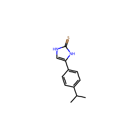 CC(C)c1ccc(-c2c[nH]c(=S)[nH]2)cc1